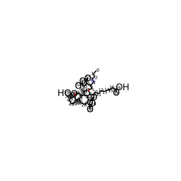 CCC/C=C/C(CCC(CCCCCCCCC(=O)O)C1C2C(=O)OC(=O)C2CCC2C(CCC3C(C)(C(=O)O)CCCC23C)C1C(C)C)C1CC(=O)OC1=O